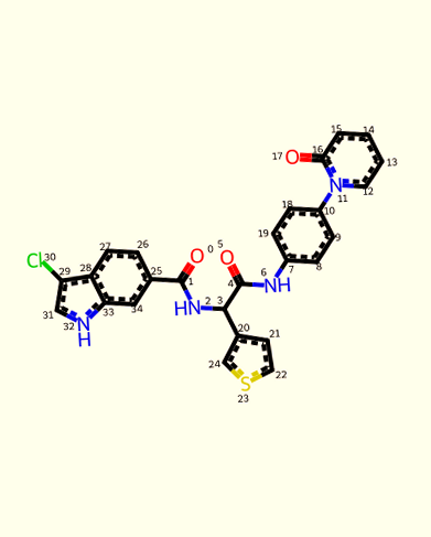 O=C(NC(C(=O)Nc1ccc(-n2ccccc2=O)cc1)c1ccsc1)c1ccc2c(Cl)c[nH]c2c1